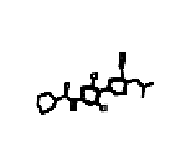 CC(C)Cc1ccc(-c2c(Cl)cc(NC(=O)C3CCCCC3)cc2Cl)cc1C#N